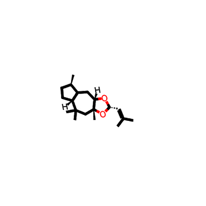 CC(C)=C[C@H]1O[C@H]2CC3[C@H](C)CC[C@H]3C(C)(C)C[C@@]2(C)O1